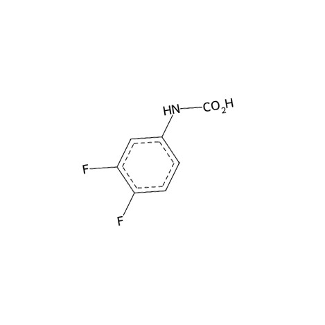 O=C(O)Nc1ccc(F)c(F)c1